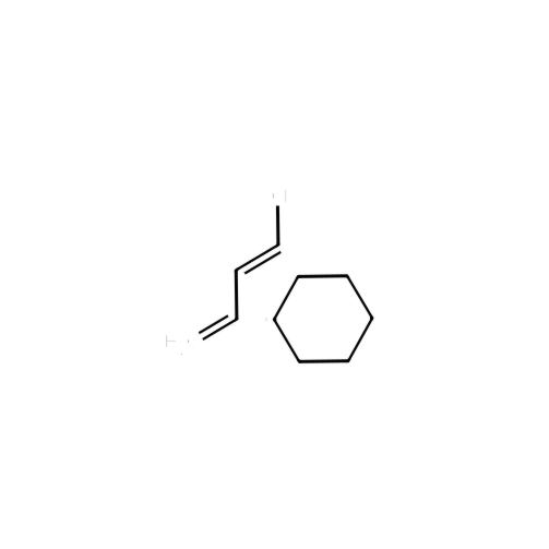 C1CCCCC1.C=C/C=C/C